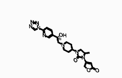 CC1CN(C2CCN(C[C@@H](O)c3ccc(-n4cnnn4)nc3)CC2)C(=O)N1C1=CC(=O)OC1